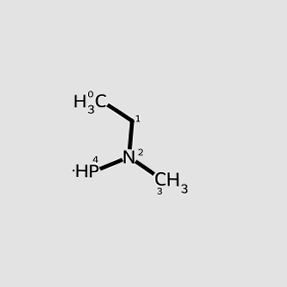 CCN(C)[PH]